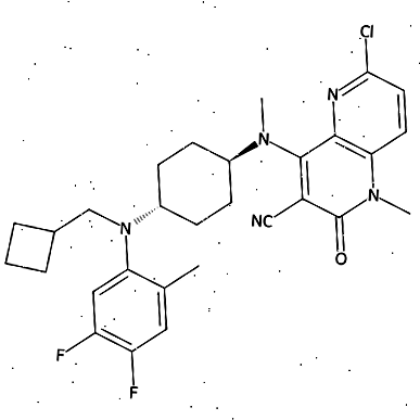 Cc1cc(F)c(F)cc1N(CC1CCC1)[C@H]1CC[C@H](N(C)c2c(C#N)c(=O)n(C)c3ccc(Cl)nc23)CC1